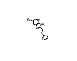 Brc1cnc2[nH]c(CCC3CC=CS3)nc2c1